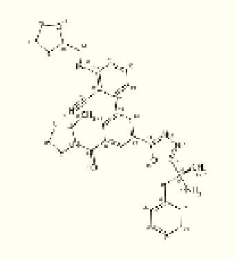 CC1CCCN1C(=O)c1cc(-c2nnc([C@](C)(N)Cc3ccccc3)o2)cc(-c2cccc(NCC3CCCO3)c2C#N)c1